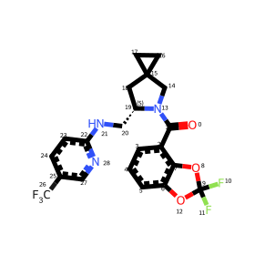 O=C(c1cccc2c1OC(F)(F)O2)N1CC2(CC2)C[C@H]1CNc1ccc(C(F)(F)F)cn1